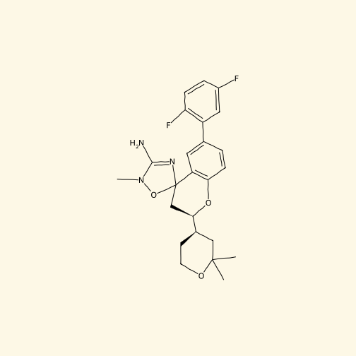 CN1OC2(C[C@H]([C@@H]3CCOC(C)(C)C3)Oc3ccc(-c4cc(F)ccc4F)cc32)N=C1N